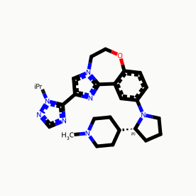 CC(C)n1ncnc1-c1cn2c(n1)-c1cc(N3CCC[C@@H]3C3CCN(C)CC3)ccc1OCC2